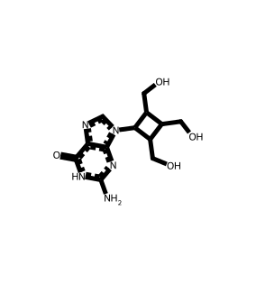 Nc1nc2c(ncn2C2C(CO)C(CO)C2CO)c(=O)[nH]1